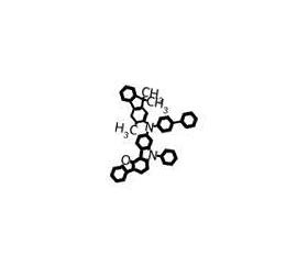 CC1CC2=C(C=C1N(c1ccc(-c3ccccc3)cc1)c1ccc3c4c5oc6ccccc6c5ccc4n(-c4ccccc4)c3c1)C(C)(C)c1ccccc12